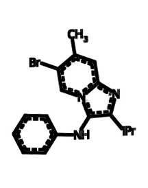 Cc1cc2nc(C(C)C)c(Nc3ccccc3)n2cc1Br